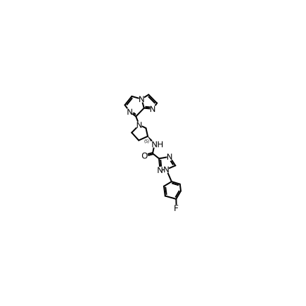 O=C(N[C@H]1CCN(c2nccn3ccnc23)C1)c1ncn(-c2ccc(F)cc2)n1